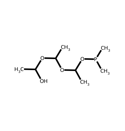 CC(O)OC(C)OC(C)OP(C)C